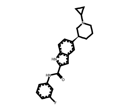 O=C(Nc1cccc(F)c1)c1cc2cc([C@@H]3CCCN(C4CC4)C3)ccc2[nH]1